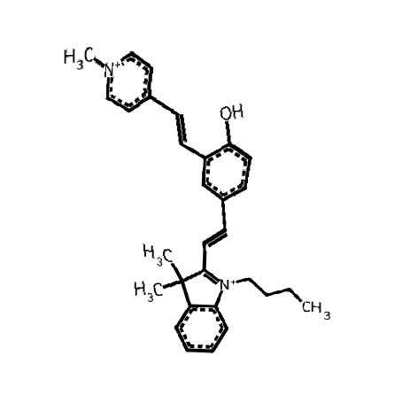 CCCC[N+]1=C(/C=C/c2ccc(O)c(/C=C/c3cc[n+](C)cc3)c2)C(C)(C)c2ccccc21